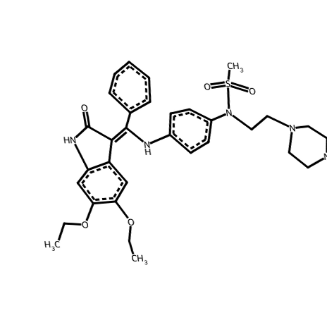 CCOc1cc2c(cc1OCC)C(=C(Nc1ccc(N(CCN3CCNCC3)S(C)(=O)=O)cc1)c1ccccc1)C(=O)N2